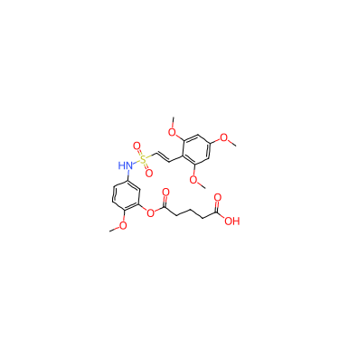 COc1cc(OC)c(C=CS(=O)(=O)Nc2ccc(OC)c(OC(=O)CCCC(=O)O)c2)c(OC)c1